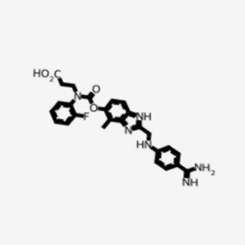 Cc1c(OC(=O)N(CCC(=O)O)c2ccccc2F)ccc2[nH]c(CNc3ccc(C(=N)N)cc3)nc12